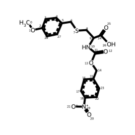 COc1ccc(CSCC(NC(=O)OCc2ccc([N+](=O)[O-])cc2)C(=O)O)cc1